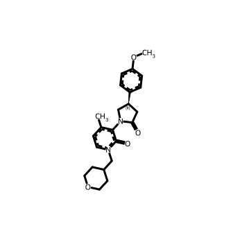 COc1ccc([C@H]2CC(=O)N(c3c(C)ccn(CC4CCOCC4)c3=O)C2)cc1